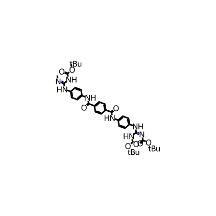 C/N=C(\NC(=O)OC(C)(C)C)Nc1ccc(NC(=O)c2ccc(C(=O)Nc3ccc(N/C(=N/C(=O)OC(C)(C)C)NC(=O)OC(C)(C)C)cc3)cc2)cc1